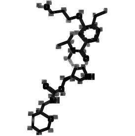 CCc1ccc(C(=O)N(C[C@@H]2CNC[C@H]2COC(=O)NCC2CCCCO2)C(C)C)cc1OCCCOC